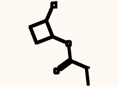 C[CH]C(=O)OC1CCC1Cl